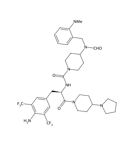 CNc1ccccc1CN(C=O)C1CCN(C(=O)N[C@H](Cc2cc(C(F)(F)F)c(N)c(C(F)(F)F)c2)C(=O)N2CCC(N3CCCC3)CC2)CC1